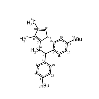 CCCCc1ccc(C([SiH2]C2=C(C)C(C)=CC2)c2ccc(CCCC)cc2)cc1